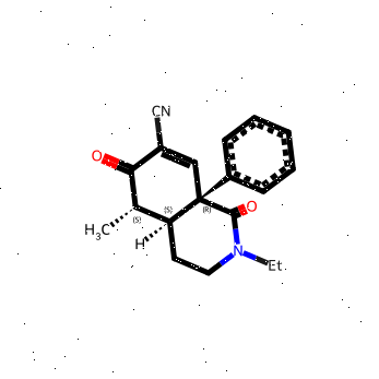 CCN1CC[C@H]2[C@H](C)C(=O)C(C#N)=C[C@]2(c2ccccc2)C1=O